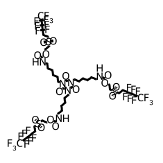 O=C(NCCCCCCn1c(=O)n(CCCCCCNC(=O)OCCS(=O)(=O)CCC(F)(F)C(F)(F)C(F)(F)C(F)(F)F)c(=O)n(CCCCCCNC(=O)OCCS(=O)(=O)CCC(F)(F)C(F)(F)C(F)(F)C(F)(F)F)c1=O)OCCS(=O)(=O)CCC(F)(F)C(F)(F)C(F)(F)C(F)(F)F